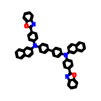 c1ccc2cc(N(c3ccc(-c4ccc(N(c5ccc(-c6nc7ccccc7o6)cc5)c5ccc6ccccc6c5)cc4)cc3)c3ccc(-c4nc5ccccc5o4)cc3)ccc2c1